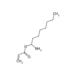 C=CC(=O)OC(N)CCCCCCC